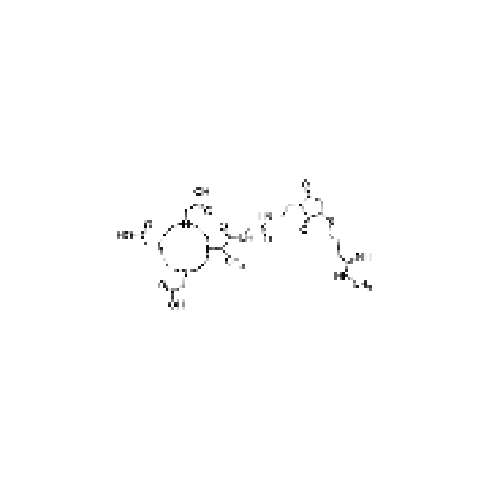 CNC(=N)CCCSC1CC(=O)N(CCNC(=O)CNC(=O)C(C)N2CCN(CC(=O)O)CCN(CC(=O)O)CCN(CC(=O)O)CC2)C1=O